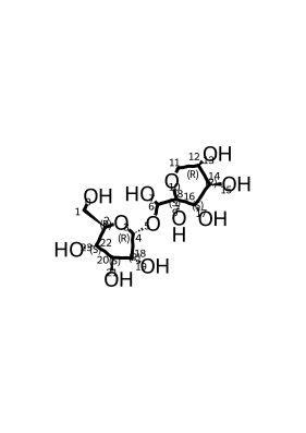 OC[C@H]1O[C@H](OC(O)[C@@]2(O)OC[C@@H](O)[C@@H](O)[C@@H]2O)[C@H](O)[C@@H](O)[C@@H]1O